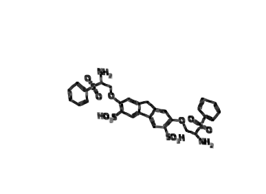 NC(COc1cc2c(cc1S(=O)(=O)O)-c1cc(S(=O)(=O)O)c(OCC(N)S(=O)(=O)c3ccccc3)cc1C2)S(=O)(=O)c1ccccc1